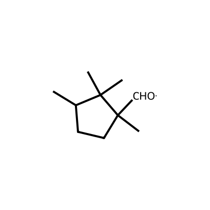 CC1CCC(C)([C]=O)C1(C)C